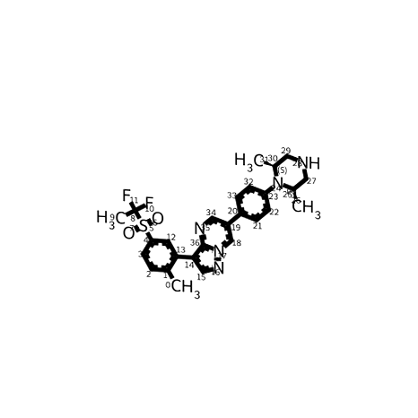 Cc1ccc(S(=O)(=O)C(C)(F)F)cc1-c1cnn2cc(-c3ccc(N4[C@H](C)CNC[C@@H]4C)cc3)cnc12